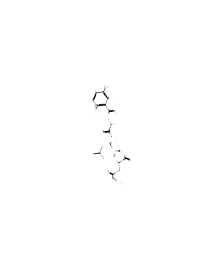 CC(C)C[C@H](NC(=O)CNC(=O)c1cc(Br)ccc1F)B1OC(=O)[C@@H](CC(=O)O)O1